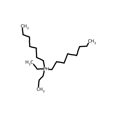 CCCCCCCC[PH](CC)(CCC)CCCCCCC